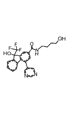 O=C(NCCCCO)c1cc(-c2cncnc2)c2c(c1)C(O)(C(F)(F)F)c1ccccc1-2